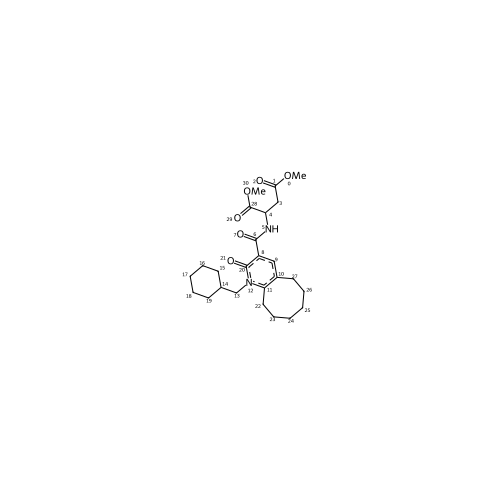 COC(=O)CC(NC(=O)c1cc2c(n(CC3CCCCC3)c1=O)CCCCCC2)C(=O)OC